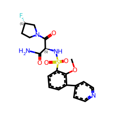 COc1c(-c2ccncc2)cccc1S(=O)(=O)N[C@@H](C(N)=O)C(=O)N1CC[C@H](F)C1